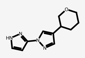 c1cc(-n2cc(C3CCCOC3)cn2)n[nH]1